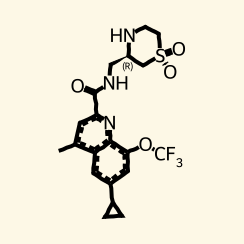 Cc1cc(C(=O)NC[C@@H]2CS(=O)(=O)CCN2)nc2c(OC(F)(F)F)cc(C3CC3)cc12